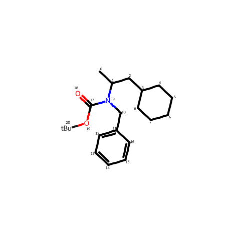 CC(CC1CCCCC1)N(Cc1ccccc1)C(=O)OC(C)(C)C